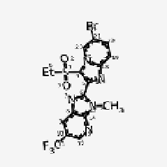 CCS(=O)(=O)c1c(-c2nc3cc(C(F)(F)F)cnc3n2C)nc2ccc(Br)cn12